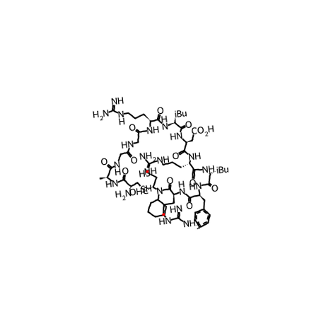 CC[C@H](C)[C@H](NC(=O)[C@H](CCCNC(=N)N)NC(=O)CNC(=O)CNC(=O)[C@H](C)NC(=O)[C@@H](N)CS)C(=O)N[C@@H](CC(=O)O)C(=O)N[C@@H](CCCNC(=N)N)C(=O)N[C@H](C(=O)N[C@@H](Cc1ccccc1)C(=O)N[C@@H](CCCNC(=N)N)C(=O)N(C1CCCCC1)[C@H]([C]=O)CS)[C@@H](C)CC